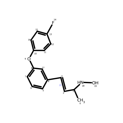 CC(/C=C/c1cccc(Oc2ccc(F)cc2)c1)NO